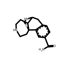 NC(=O)c1ccc2c(c1)C13CCNCCC1C(C2)NCC3